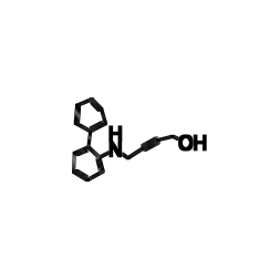 OCC#CCNc1ccccc1-c1ccccc1